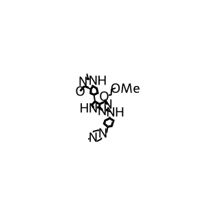 COCCOc1nc(Nc2ccc(CN3CCN(C)CC3)cc2)nc2[nH]cc(-c3ccc4[nH]c(C)nc(=O)c4c3)c12